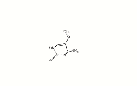 Nc1nc(=O)[nH]cc1OC(F)(F)F